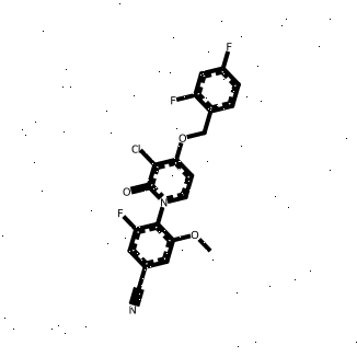 COc1cc(C#N)cc(F)c1-n1ccc(OCc2ccc(F)cc2F)c(Cl)c1=O